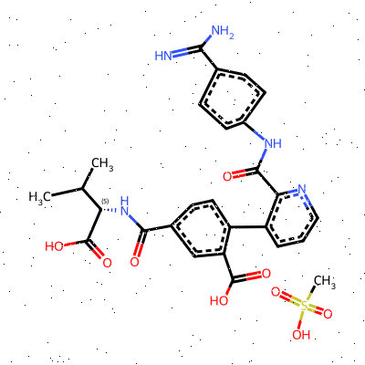 CC(C)[C@H](NC(=O)c1ccc(-c2cccnc2C(=O)Nc2ccc(C(=N)N)cc2)c(C(=O)O)c1)C(=O)O.CS(=O)(=O)O